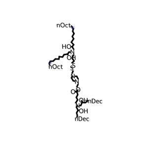 CCCCCCCC/C=C\CCCCCCC(O)CN(CCCCSSCCN1CCN(CCOC(=O)CCCCN(CC(O)CCCCCCCCCCCC)CC(O)CCCCCCCCCCCC)CC1)CC(O)CCCCCC/C=C\CCCCCCCC